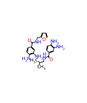 CC(C)CNC(=O)c1ccc(N)c(N)c1.Nc1ccc(C(=O)NCc2ccco2)cc1N